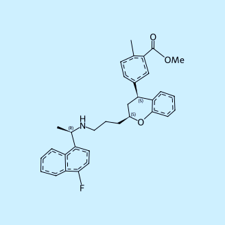 COC(=O)c1cc([C@@H]2C[C@H](CCCN[C@H](C)c3ccc(F)c4ccccc34)Oc3ccccc32)ccc1C